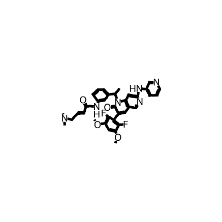 COc1cc(OC)c(F)c(-c2cc3cnc(Nc4cccnc4)cc3n(C(C)c3cccc(NC(=O)/C=C/CN(C)C)c3)c2=O)c1F